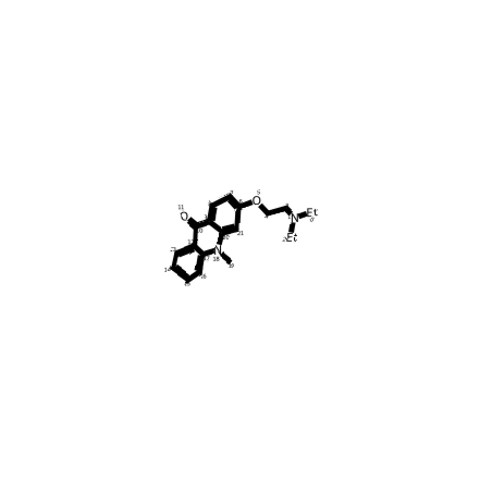 CCN(CC)CCOc1ccc2c(=O)c3ccccc3n(C)c2c1